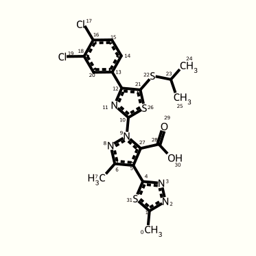 Cc1nnc(-c2c(C)nn(-c3nc(-c4ccc(Cl)c(Cl)c4)c(SC(C)C)s3)c2C(=O)O)s1